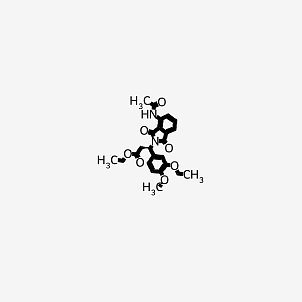 CCOC(=O)C[C@H](c1ccc(OC)c(OCC)c1)N1C(=O)c2cccc(NC(C)=O)c2C1=O